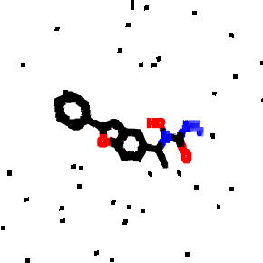 CC(c1ccc2oc(-c3ccccc3)cc2c1)N(O)C(N)=O